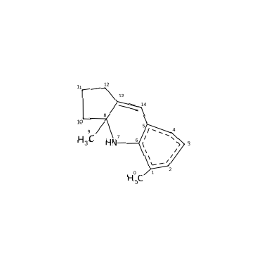 Cc1cccc2c1NC1(C)CCCC1=C2